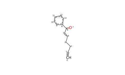 C#CCCC=CC(=O)c1ccccc1